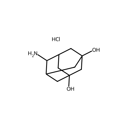 Cl.NC1C2CC3(O)CC1CC(O)(C2)C3